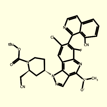 C[S+]([O-])c1nc2c(F)c(-c3nccc4cccc(C#N)c34)c(Cl)cc2c2c1cnn2[C@H]1CCN(C(=O)OC(C)(C)C)[C@H](CC#N)C1